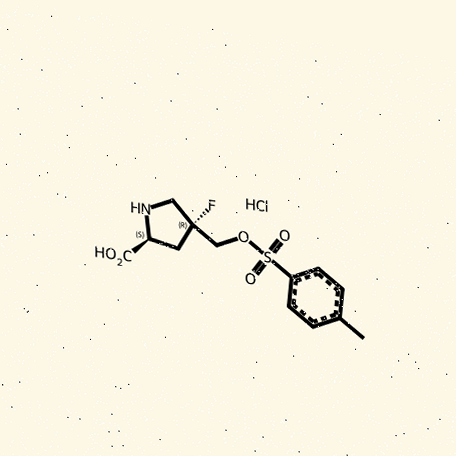 Cc1ccc(S(=O)(=O)OC[C@]2(F)CN[C@H](C(=O)O)C2)cc1.Cl